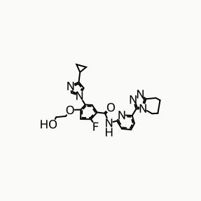 O=C(Nc1cccc(-c2nnc3n2CCCC3)n1)c1cc(-n2cnc(C3CC3)c2)c(OCCO)cc1F